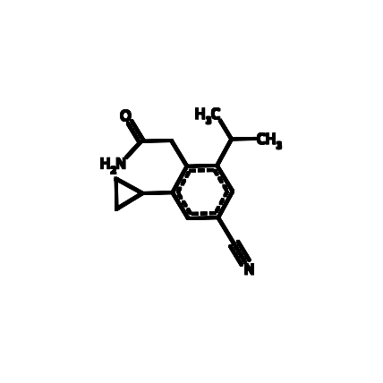 CC(C)c1cc(C#N)cc(C2CC2)c1CC(N)=O